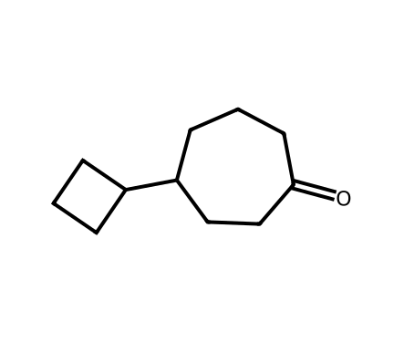 O=C1CCCC(C2CCC2)CC1